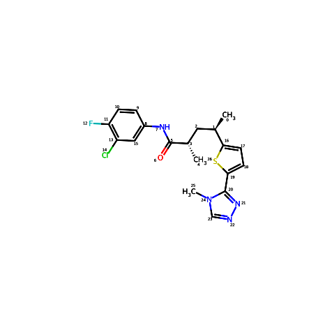 C[C@H](C[C@H](C)C(=O)Nc1ccc(F)c(Cl)c1)c1ccc(-c2nncn2C)s1